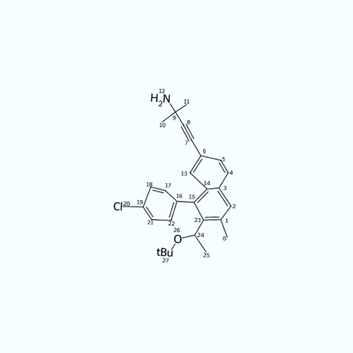 Cc1cc2ccc(C#CC(C)(C)N)cc2c(-c2ccc(Cl)cc2)c1C(C)OC(C)(C)C